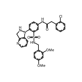 COc1ccc(CNS(=O)(=O)c2cc(NC(=O)Cc3ccccc3Cl)ccc2N2NCc3ncccc32)c(OC)c1